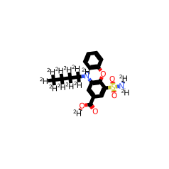 [2H]OC(=O)c1cc(N([2H])C([2H])([2H])C([2H])([2H])C([2H])([2H])C([2H])([2H])[2H])c(Oc2ccccc2)c(S(=O)(=O)N([2H])[2H])c1